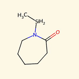 C[SiH2]N1CCCCCC1=O